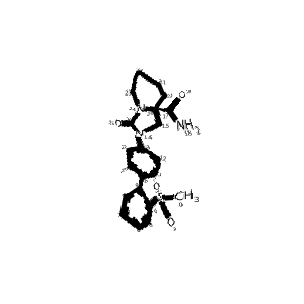 CS(=O)(=O)c1ccccc1-c1ccc(N2C[C@@]3(C(N)=O)[CH]CCCN3C2=O)cc1